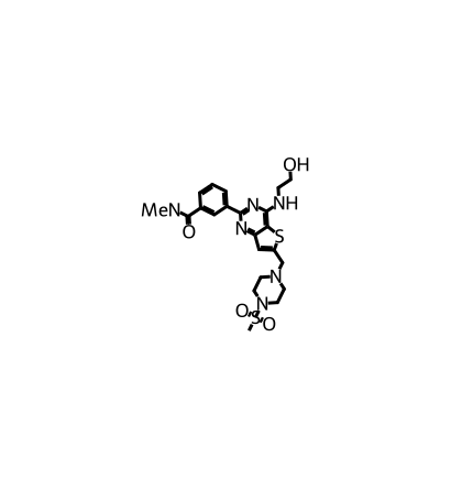 CNC(=O)c1cccc(-c2nc(NCCO)c3sc(CN4CCN(S(C)(=O)=O)CC4)cc3n2)c1